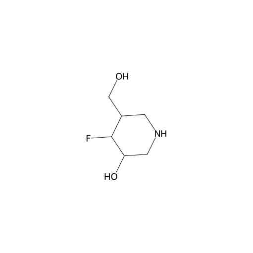 OCC1CNCC(O)C1F